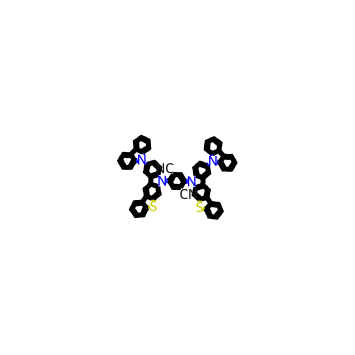 N#Cc1cc(-n2c3ccc(N4c5ccccc5C5C=CC=CC54)cc3c3cc4c(cc32)sc2ccccc24)c(C#N)cc1N1c2ccc(-n3c4ccccc4c4ccccc43)cc2C2C=c3c(sc4ccccc34)=CC21